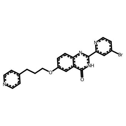 O=c1[nH]c(-c2cc(Br)ccn2)nc2ccc(OCCCc3ccncc3)cc12